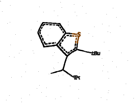 CC(C)C(C)c1c(C(C)(C)C)sc2ccccc12